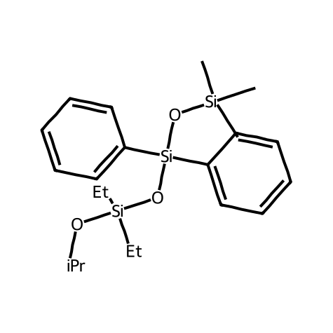 CC[Si](CC)(OC(C)C)O[Si](O[Si](C)(C)C)(c1ccccc1)c1ccccc1